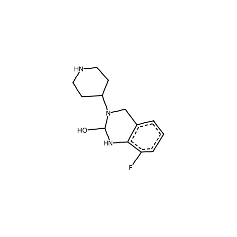 OC1Nc2c(F)cccc2CN1C1CCNCC1